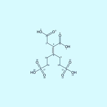 O=C(O)CC(C(=O)O)=C(CCS(=O)(=O)O)CCS(=O)(=O)O